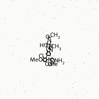 C=CC(=O)N1CC(O)C(N(C)c2ncc3cc(-c4c(Cl)c(OC)cc(OC)c4-n4ccc(N)nc4=O)ccc3n2)C1